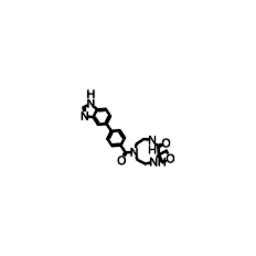 O=C(c1ccc(-c2ccc3[nH]cnc3c2)cc1)N1CCNC(=O)C2(COC2)NCC1